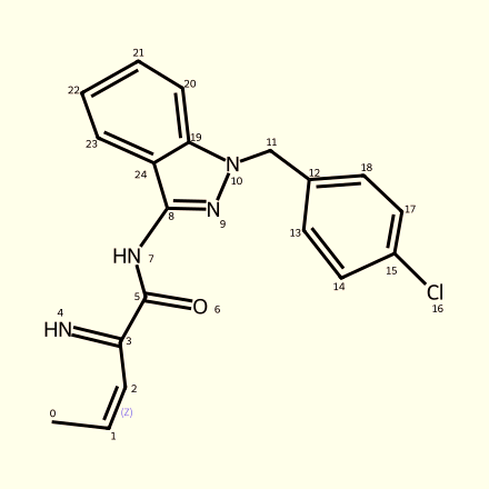 C/C=C\C(=N)C(=O)Nc1nn(Cc2ccc(Cl)cc2)c2ccccc12